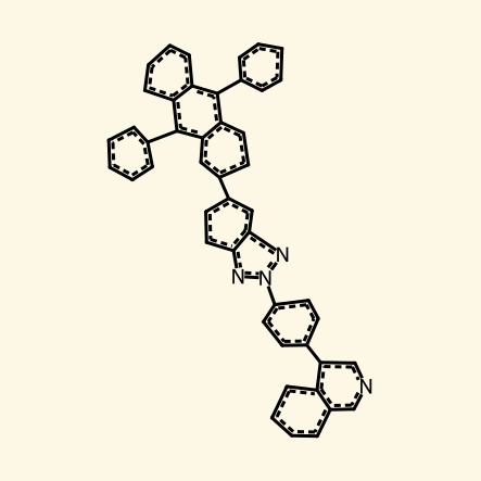 c1ccc(-c2c3ccccc3c(-c3ccccc3)c3cc(-c4ccc5nn(-c6ccc(-c7cncc8ccccc78)cc6)nc5c4)ccc23)cc1